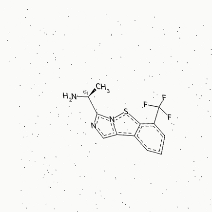 C[C@H](N)c1ncc2c3cccc(C(F)(F)F)c3sn12